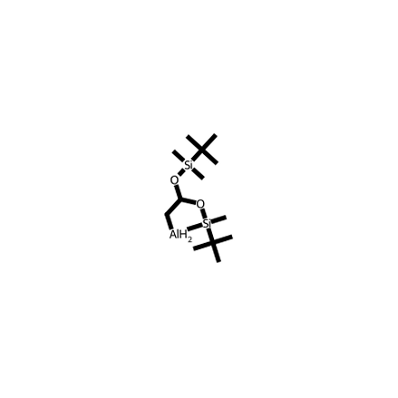 CC(C)(C)[Si](C)(C)OC([CH2][AlH2])O[Si](C)(C)C(C)(C)C